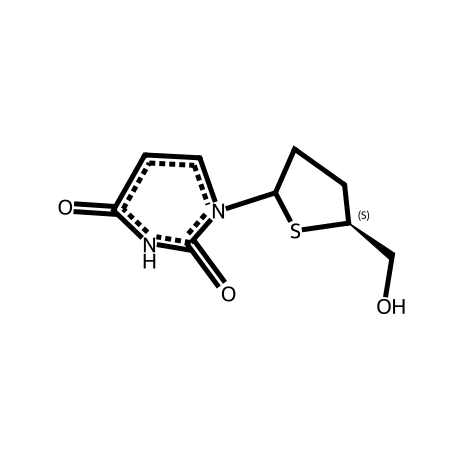 O=c1ccn(C2CC[C@@H](CO)S2)c(=O)[nH]1